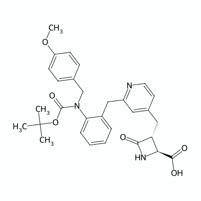 COc1ccc(CN(C(=O)OC(C)(C)C)c2ccccc2Cc2cc(C[C@H]3C(=O)N[C@@H]3C(=O)O)ccn2)cc1